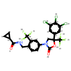 O=C(NCc1ccc(N2CC(c3cc(Cl)c(Cl)c(Cl)c3)(C(F)(F)F)OC2=O)cc1C(F)(F)F)C1CC1